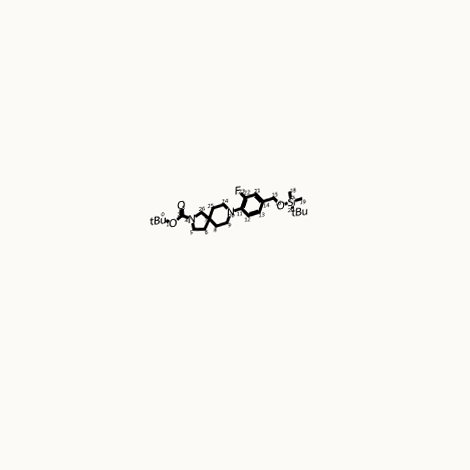 CC(C)(C)OC(=O)N1CCC2(CCN(c3ccc(CO[Si](C)(C)C(C)(C)C)cc3F)CC2)C1